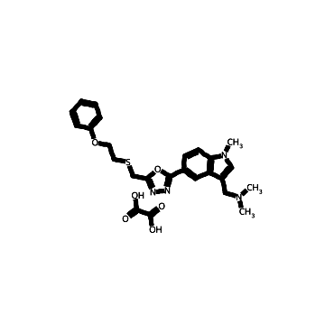 CN(C)Cc1cn(C)c2ccc(-c3nnc(CSCCOc4ccccc4)o3)cc12.O=C(O)C(=O)O